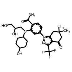 CC1(C)CC(=O)c2c(C(F)(F)F)nn(-c3ccc(C(N)=O)c(N(CC(O)CO)C4CCC(O)CC4)c3)c2C1